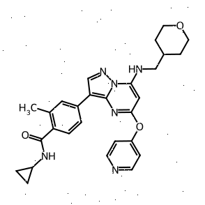 Cc1cc(-c2cnn3c(NCC4CCOCC4)cc(Oc4ccncc4)nc23)ccc1C(=O)NC1CC1